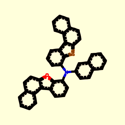 c1ccc2cc(N(c3cccc4c3oc3ccc5ccccc5c34)c3cccc4c3sc3ccc5ccccc5c34)ccc2c1